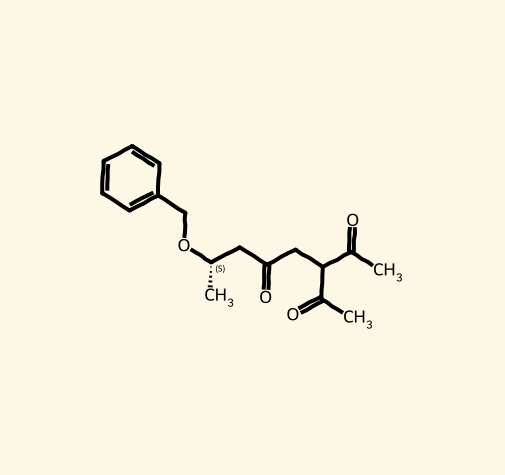 CC(=O)C(CC(=O)C[C@H](C)OCc1ccccc1)C(C)=O